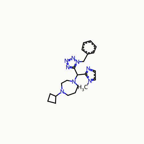 Cn1ccnc1C(c1nnnn1Cc1ccccc1)N1CCCN(C2CCC2)CC1